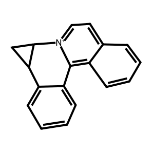 c1ccc2c(c1)-c1c3ccccc3cc[n+]1C1CC21